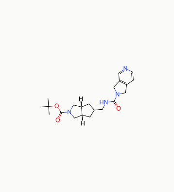 CC(C)(C)OC(=O)N1C[C@H]2C[C@H](CNC(=O)N3Cc4ccncc4C3)C[C@H]2C1